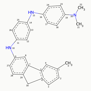 Cc1ccc2c(c1)-c1cc(Nc3ccc(Nc4ccc(N(C)C)cc4)cc3)ccc1C2